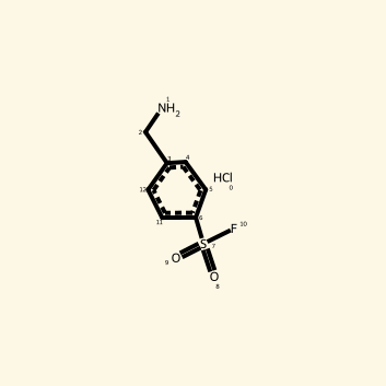 Cl.NCc1ccc(S(=O)(=O)F)cc1